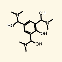 CN(C)C(O)c1cc(C(O)N(C)C)c(O)c(C(O)N(C)C)c1